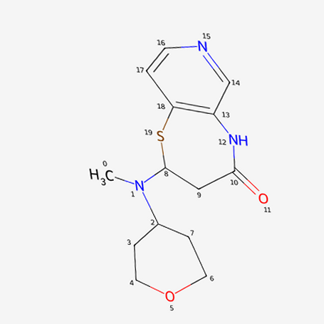 CN(C1CCOCC1)C1CC(=O)Nc2cnccc2S1